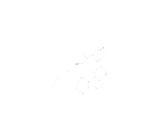 CN(CCCCOCC(=O)O)c1ccccn1.[NaH].c1ccc(-c2ccccc2)cc1